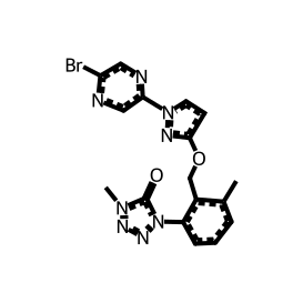 Cc1cccc(-n2nnn(C)c2=O)c1COc1ccn(-c2cnc(Br)cn2)n1